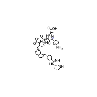 CC(C)(O/N=C(\C(=O)N[C@@H]1C(=O)N2C(C(=O)[O-])=C(C[n+]3ccc4ccn(Cc5ccc(C(=N)NC6CCCNC6)cc5)c4c3)CS[C@H]12)c1csc(N)n1)C(=O)O